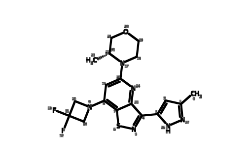 Cc1cc(-c2nsc3c(N4CC(F)(F)C4)cc(N4CCOC[C@H]4C)nc23)[nH]n1